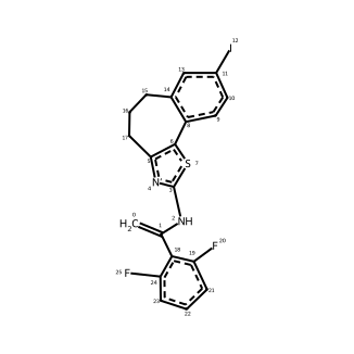 C=C(Nc1nc2c(s1)-c1ccc(I)cc1CCC2)c1c(F)cccc1F